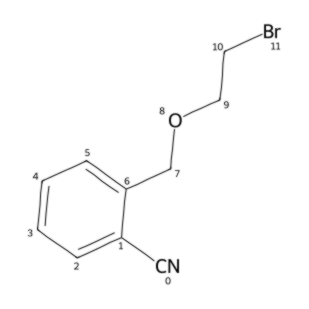 N#Cc1ccccc1COCCBr